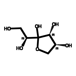 OC[C@H](O)C1(O)OC[C@@H](O)[C@H]1O